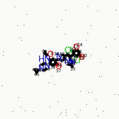 C=CC(=O)Nc1cc(/C(=C/c2c(C)cc(-c3c(Cl)c(OC)cc(OC)c3Cl)c3nc(C)cn23)N=C)c(OC)cc1N1CCN(C2CC2)CC1